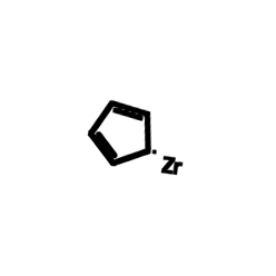 [CH]1C=CC=C1.[Zr]